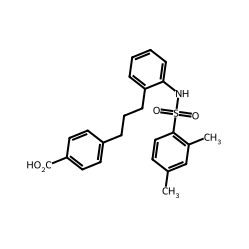 Cc1ccc(S(=O)(=O)Nc2ccccc2CCCc2ccc(C(=O)O)cc2)c(C)c1